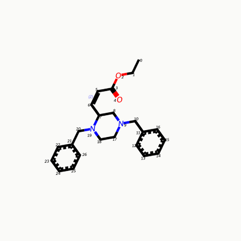 CCOC(=O)/C=C\C1CN(Cc2ccccc2)CCN1Cc1ccccc1